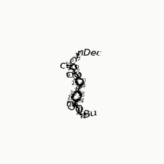 CCCCCCCCCCCCOc1ccc(C(=O)Oc2ccc(-c3ccc(C(=O)OCC(C)CC)cc3)cc2)cc1Cl